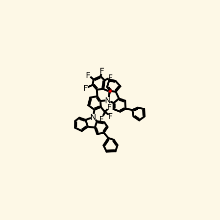 Fc1c(F)c(F)c(-c2ccc(-n3c4ccccc4c4cc(-c5ccccc5)ccc43)c(C(F)(F)F)c2-n2c3ccccc3c3cc(-c4ccccc4)ccc32)c(F)c1F